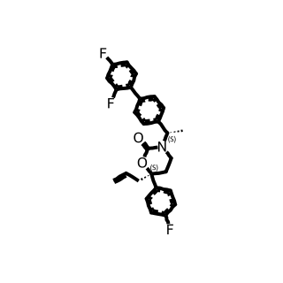 C=CC[C@@]1(c2ccc(F)cc2)CCN([C@@H](C)c2ccc(-c3ccc(F)cc3F)cc2)C(=O)O1